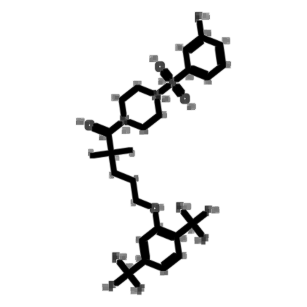 CC(C)(CCCOc1cc(C(F)(F)F)ccc1C(F)(F)F)C(=O)N1CCN(S(=O)(=O)c2cccc(F)c2)CC1